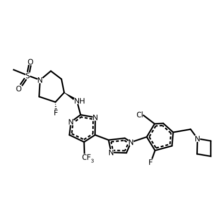 CS(=O)(=O)N1CC[C@@H](Nc2ncc(C(F)(F)F)c(-c3cn(-c4c(F)cc(CN5CCC5)cc4Cl)cn3)n2)[C@H](F)C1